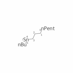 CCCCCCC[CH2][Sn][CH2]CCC